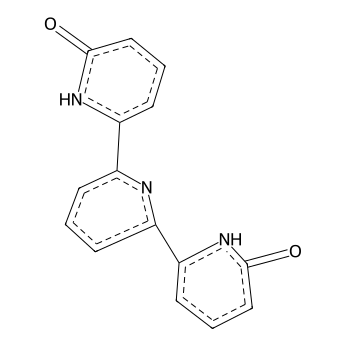 O=c1cccc(-c2cccc(-c3cccc(=O)[nH]3)n2)[nH]1